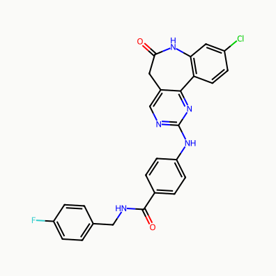 O=C1Cc2cnc(Nc3ccc(C(=O)NCc4ccc(F)cc4)cc3)nc2-c2ccc(Cl)cc2N1